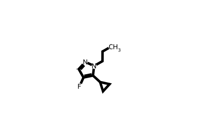 CCCn1n[c]c(F)c1C1CC1